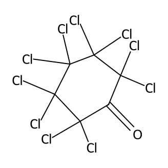 O=C1C(Cl)(Cl)C(Cl)(Cl)C(Cl)(Cl)C(Cl)(Cl)C1(Cl)Cl